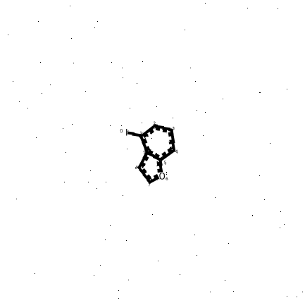 Ic1cccc2occc12